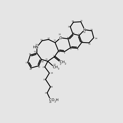 C=C1C2=Cc3cc4c5c(c3OC2CCNc2ccccc2C1(C)CCCCCC(=O)O)CCCN5CCC4